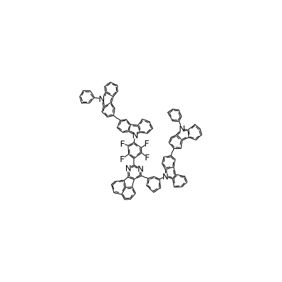 Fc1c(F)c(-n2c3ccccc3c3cc(-c4ccc5c(c4)c4ccccc4n5-c4ccccc4)ccc32)c(F)c(F)c1-c1nc(-c2cccc(-n3c4ccccc4c4cc(-c5ccc6c(c5)c5ccccc5n6-c5ccccc5)ccc43)c2)c2c(n1)-c1cccc3cccc-2c13